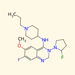 CCCN1CCC(NC2=c3cc(OC)c(I)cc3=NCN2N2CCCC2F)CC1